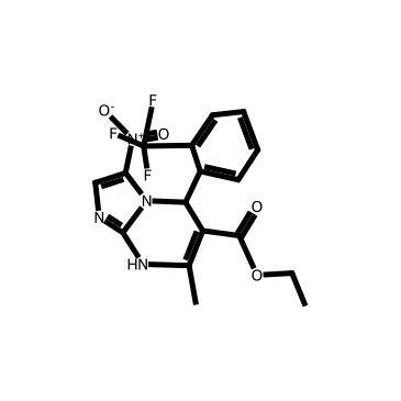 CCOC(=O)C1=C(C)Nc2ncc([N+](=O)[O-])n2C1c1ccccc1C(F)(F)F